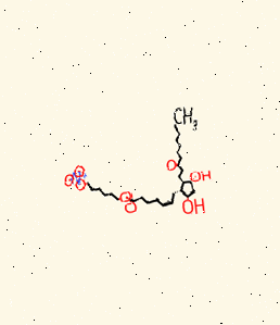 CCCCCCCC(=O)CC[C@@H]1[C@@H](C/C=C\CCCC(=O)OCCCCCCO[N+](=O)[O-])[C@@H](O)C[C@H]1O